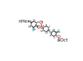 CCCCCCCCOc1ccc(-c2ccc(C(=O)Oc3ccc(CCCCCC)cc3F)cc2)cc1F